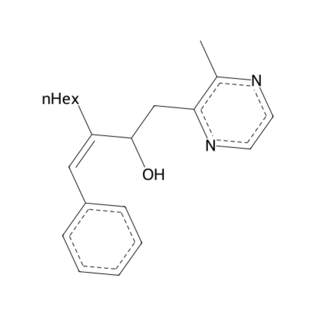 CCCCCCC(=Cc1ccccc1)C(O)Cc1nccnc1C